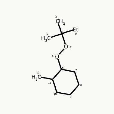 CCC(C)(C)OOC1CCCCC1C